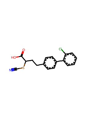 N#CSC(CCc1ccc(-c2ccccc2Cl)cc1)C(=O)O